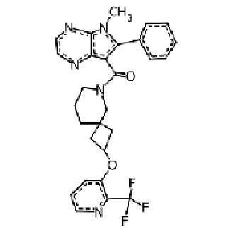 Cn1c(-c2ccccc2)c(C(=O)N2CCCC3(CC(Oc4cccnc4C(F)(F)F)C3)C2)c2nccnc21